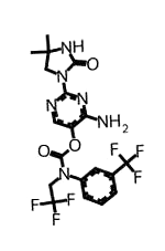 CC1(C)CN(c2ncc(OC(=O)N(CC(F)(F)F)c3cccc(C(F)(F)F)c3)c(N)n2)C(=O)N1